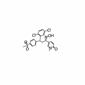 Cn1cc(/C(CC(c2ccc(S(C)(=O)=O)cc2)c2cc(Cl)ccc2Cl)=N\O)ccc1=O